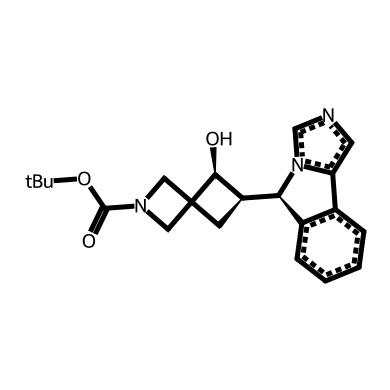 CC(C)(C)OC(=O)N1CC2(C[C@H]([C@@H]3c4ccccc4-c4cncn43)[C@@H]2O)C1